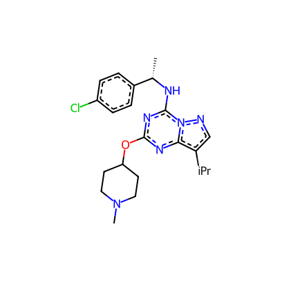 CC(C)c1cnn2c(N[C@@H](C)c3ccc(Cl)cc3)nc(OC3CCN(C)CC3)nc12